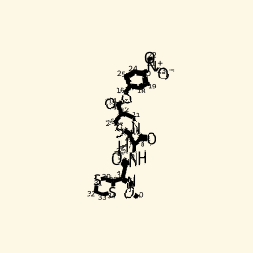 CON=C(C(=O)NC1C(=O)N2C=C(C(=O)OCc3ccc([N+](=O)[O-])cc3)CS[C@H]12)C1=CSCCS1